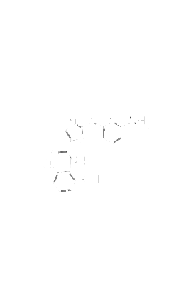 Cc1cccc(Cl)c1NC(=O)c1cnc(Nc2cccc(N)n2)s1